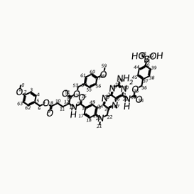 COc1ccc(COC(=O)CCC(NC(=O)c2ccc(N(C)Cc3cnc4nc(N)nc(NC(=O)OCc5ccc(B(O)O)cc5)c4n3)cc2)C(=O)OCc2ccc(OC)cc2)cc1